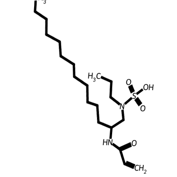 C=CC(=O)NC(CCCCCCCCCCCC)CN(CCC)S(=O)(=O)O